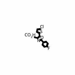 O=C(O)Cc1nc(-c2ccc(F)cc2)oc1-c1ccc(Cl)s1